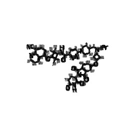 CC(C)N(CC1CCN(c2ccc(C(=O)NC3C(C)(C)C(Oc4ccc(C#N)c5ncccc45)C3(C)C)nn2)CC1)[C@H]1C[C@H](Oc2ccc3c(c2)C(=O)N(C2CCC(=O)NC2=O)C3=O)C1